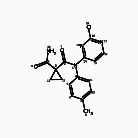 Cc1ccc(N(C(=O)C2(C(N)=O)CC2)c2ccnc(Cl)n2)cc1